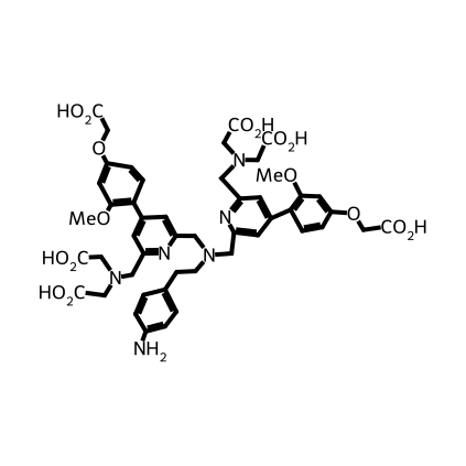 COc1cc(OCC(=O)O)ccc1-c1cc(CN(CC(=O)O)CC(=O)O)nc(CN(CCc2ccc(N)cc2)Cc2cc(-c3ccc(OCC(=O)O)cc3OC)cc(CN(CC(=O)O)CC(=O)O)n2)c1